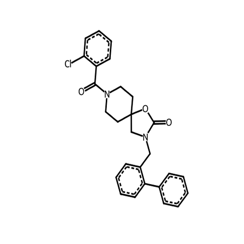 O=C1OC2(CCN(C(=O)c3ccccc3Cl)CC2)CN1Cc1ccccc1-c1ccccc1